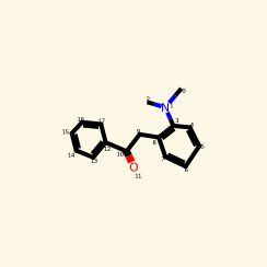 CN(C)c1[c]cccc1CC(=O)c1ccccc1